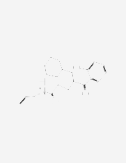 C=CCNC(=O)CCC1C(=O)c2ccccc2OC1C1CCCCC1